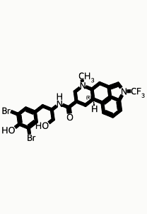 CN1CC(C(=O)NC(CO)Cc2cc(Br)c(O)c(Br)c2)C[C@@H]2c3cccc4c3c(cn4C(F)(F)F)CC21